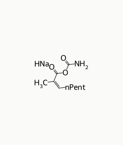 CCCCCC=C(C)C(=O)OC(N)=O.[NaH]